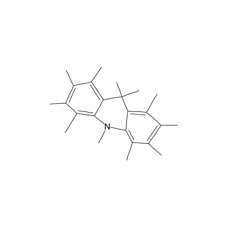 Cc1c(C)c(C)c2c(c1C)N(C)c1c(C)c(C)c(C)c(C)c1C2(C)C